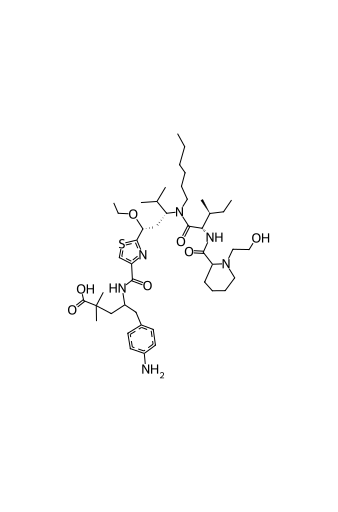 CCCCCCN(C(=O)[C@@H](NC(=O)C1CCCCN1CCO)[C@@H](C)CC)[C@H](C[C@@H](OCC)c1nc(C(=O)NC(Cc2ccc(N)cc2)CC(C)(C)C(=O)O)cs1)C(C)C